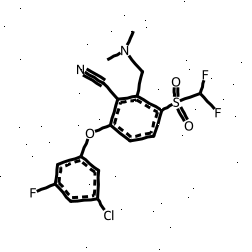 CN(C)Cc1c(S(=O)(=O)C(F)F)ccc(Oc2cc(F)cc(Cl)c2)c1C#N